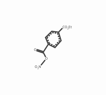 CCOC(=O)c1ccc(C(=O)O[N+](=O)[O-])cc1